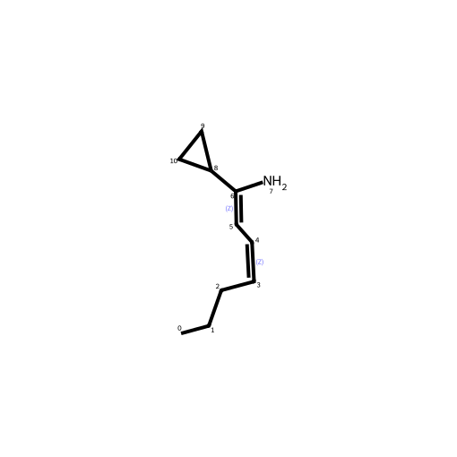 CCC/C=C\C=C(/N)C1CC1